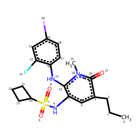 CCCc1cc(NS(=O)(=O)C2CCC2)c(Nc2ccc(I)cc2F)n(C)c1=O